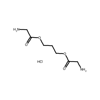 Cl.NCC(=O)OCCCOC(=O)CN